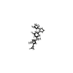 Cc1cc(C2CCCN2c2nc(C)cc(Nc3cc(C4CC4)[nH]n3)n2)on1